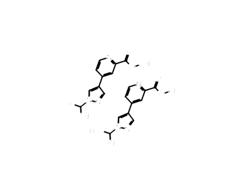 COC(=O)c1cc(-c2cnn(C(C)C)c2)ccn1.COC(=O)c1cc(-c2cnn(C(C)C)c2)ccn1